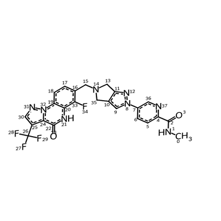 CNC(=O)c1ccc(-n2cc3c(n2)CN(Cc2ccc4c([nH]c(=O)c5c(C(F)(F)F)cnn54)c2F)C3)cn1